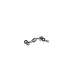 N#Cc1ccc(S(=O)(=O)NCCN2CC3CN(CCc4onc5ccccc45)CC(C2)O3)cc1